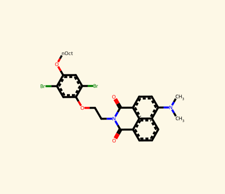 CCCCCCCCOc1cc(Br)c(OCCN2C(=O)c3cccc4c(N(C)C)ccc(c34)C2=O)cc1Br